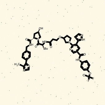 Cc1ncsc1-c1ccc(CNC(=O)[C@@H]2C[C@@H](O)CN2C(=O)[C@@H](NC(=O)CCOC2CCN(c3ncc(C(=O)Nc4ccc(OC(F)(F)Cl)cc4)cc3-c3ccn[nH]3)C2)C(C)(C)C)cc1